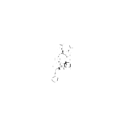 C=C(C)CO[C@@H]1[C@@H](OCC(=C)C)COC[C@H](NC(=O)OCc2ccccc2)C(=O)O[C@@H]1C(C)C